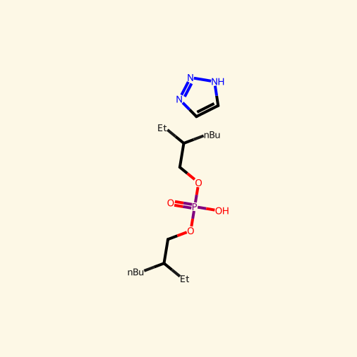 CCCCC(CC)COP(=O)(O)OCC(CC)CCCC.c1c[nH]nn1